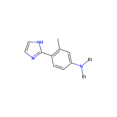 CCN(CC)c1ccc(-c2ncc[nH]2)c(C)c1